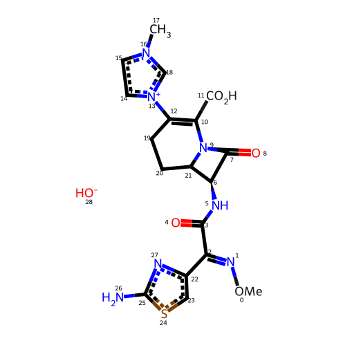 CON=C(C(=O)N[C@@H]1C(=O)N2C(C(=O)O)=C([n+]3ccn(C)c3)CCC12)c1csc(N)n1.[OH-]